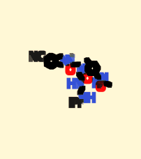 Cc1nc(-c2ccc(C)c(N(CC(=O)NCCNC(C)C)CC(=O)N(C)N3Cc4ccc(C#N)cc4C3)c2)no1